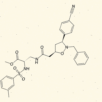 COC(=O)[C@H](CNC(=O)C[C@H]1C[C@@H](c2ccc(C#N)cc2)N(Cc2ccccc2)O1)NS(=O)(=O)c1cccc(C)c1